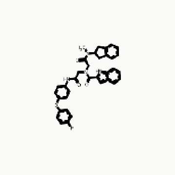 CN(C(=O)CN(CC(=O)Nc1ccc(Oc2ccc(F)cc2)cc1)C(=O)c1cc2ccccc2[nH]1)C1Cc2ccccc2C1